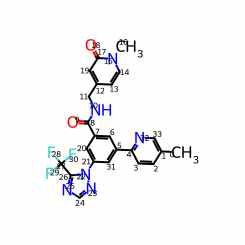 Cc1ccc(-c2cc(C(=O)NCc3ccn(C)c(=O)c3)cc(-n3ncnc3C(F)(F)F)c2)nc1